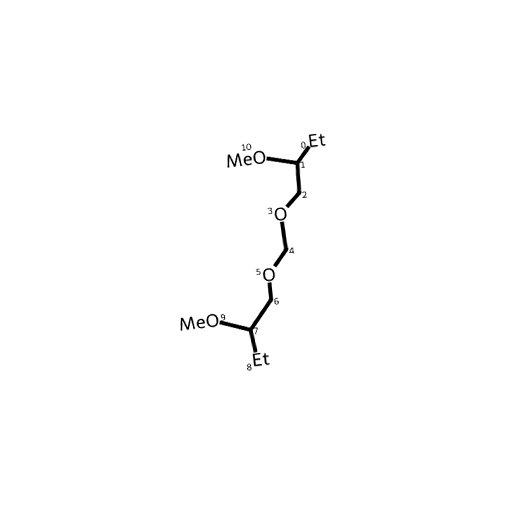 CCC(COCOCC(CC)OC)OC